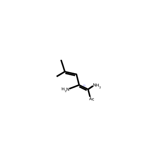 CC(=O)/C(N)=C(\N)C=C(C)C